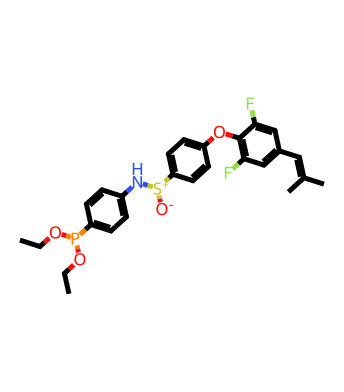 CCOP(OCC)c1ccc(N[S+]([O-])c2ccc(Oc3c(F)cc(C=C(C)C)cc3F)cc2)cc1